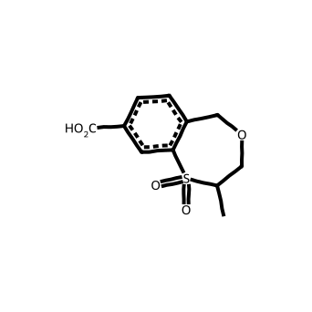 CC1COCc2ccc(C(=O)O)cc2S1(=O)=O